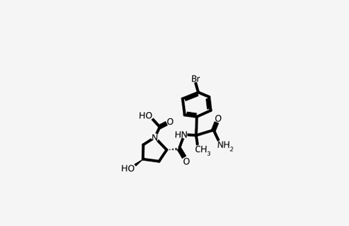 CC(NC(=O)[C@@H]1C[C@@H](O)CN1C(=O)O)(C(N)=O)c1ccc(Br)cc1